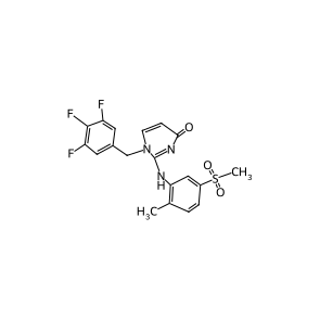 Cc1ccc(S(C)(=O)=O)cc1Nc1nc(=O)ccn1Cc1cc(F)c(F)c(F)c1